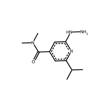 CC(C)c1cc(C(=O)N(C)C)cc(NN)n1